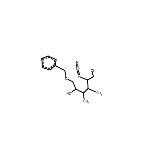 CC(C(O)COCc1ccccc1)C(C)C(CO)N=[N+]=[N-]